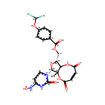 O=C1/C=C\C(=O)O[C@H]2C(O1)[C@@H](COC(=O)c1ccc(OC(F)F)cc1)O[C@H]2n1ccc(NO)nc1=O